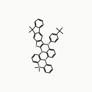 CC(C)(C)c1ccc(N2c3cccc4c3B(c3cccc5c3N4c3ccccc3[Si]5(C)C)c3sc4cc5c(cc4c32)-c2ccccc2C5(C)C)cc1